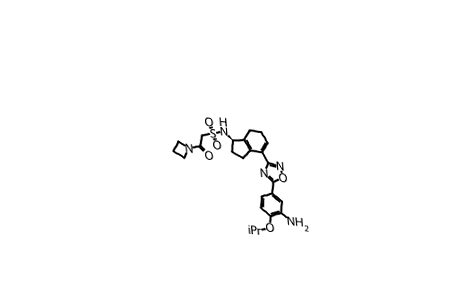 CC(C)Oc1ccc(-c2nc(C3=CCCC4=C3CC[C@H]4NS(=O)(=O)CC(=O)N3CCC3)no2)cc1N